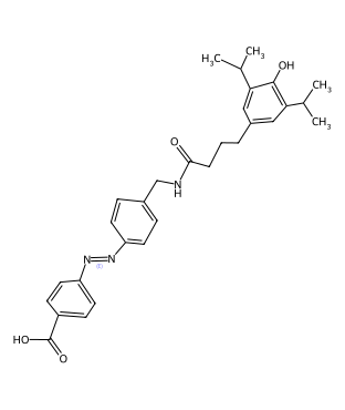 CC(C)c1cc(CCCC(=O)NCc2ccc(/N=N/c3ccc(C(=O)O)cc3)cc2)cc(C(C)C)c1O